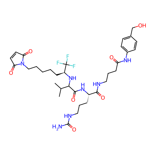 CC(C)C(N[C@@H](CCCCCN1C(=O)C=CC1=O)C(F)(F)F)C(=O)N[C@@H](CCCNC(N)=O)C(=O)NCCCC(=O)Nc1ccc(CO)cc1